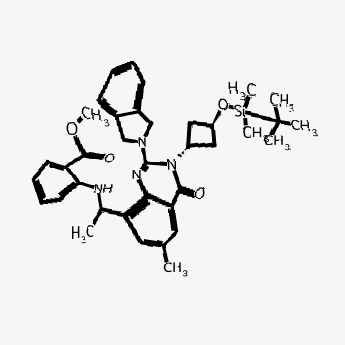 COC(=O)c1ccccc1NC(C)c1cc(C)cc2c(=O)n([C@H]3C[C@H](O[Si](C)(C)C(C)(C)C)C3)c(N3Cc4ccccc4C3)nc12